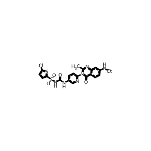 CCNc1ccc2c(=O)n(-c3ccc(NC(=O)NS(=O)(=O)c4ccc(Cl)s4)cn3)c(C)nc2c1